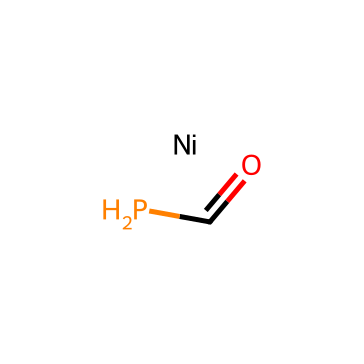 O=CP.[Ni]